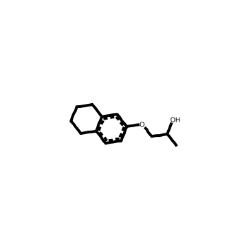 CC(O)COc1ccc2c(c1)CCCC2